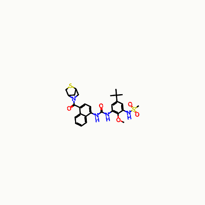 COc1c(NC(=O)Nc2ccc(C(=O)N3CC4CC3CS4)c3ccccc23)cc(C(C)(C)C)cc1NS(C)(=O)=O